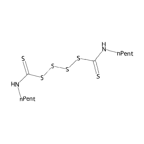 CCCCCNC(=S)SSSSC(=S)NCCCCC